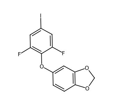 Fc1cc(I)cc(F)c1Oc1ccc2c(c1)OCO2